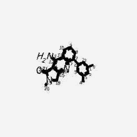 Cc1cc(C)cc(-c2cccc3c(N)c4c(nc23)CN(C)C4=O)c1